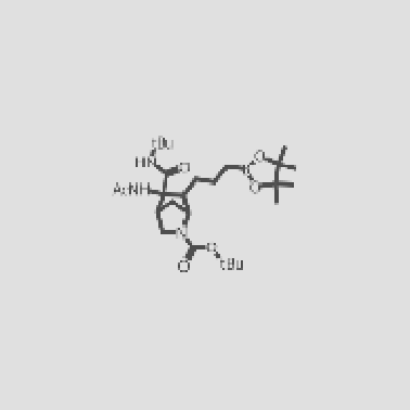 CC(=O)NC1(C(=O)NC(C)(C)C)C2CC(C1CCCB1OC(C)(C)C(C)(C)O1)N(C(=O)OC(C)(C)C)C2